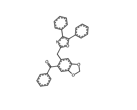 O=C(c1ccccc1)c1cc2c(cc1Cc1nc(-c3ccccc3)c(-c3ccccc3)o1)OCO2